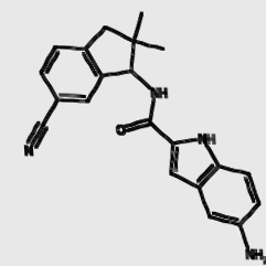 CC1(C)Cc2ccc(C#N)cc2C1NC(=O)c1cc2cc(N)ccc2[nH]1